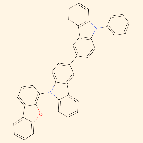 C1=Cc2c(c3cc(-c4ccc5c(c4)c4ccccc4n5-c4cccc5c4oc4ccccc45)ccc3n2-c2ccccc2)CC1